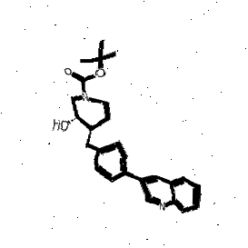 CC(C)(C)OC(=O)N1CC[C@@H](Cc2ccc(-c3cnc4ccccc4c3)cc2)[C@H](O)C1